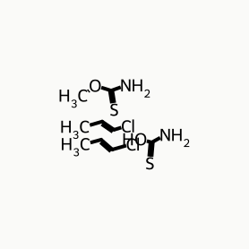 CC=CCl.CC=CCl.COC(N)=S.NC(O)=S